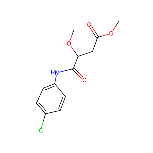 COC(=O)CC(OC)C(=O)Nc1ccc(Cl)cc1